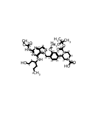 CCCC(CCO)Nc1nc(NC(=O)OC)nc2cnn(Cc3ccc(C4CN(C(=O)O)CCN4C(=O)OC(C)(C)C)cc3OC)c12